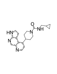 O=C(NCC1CC1)N1CCC(c2ccnc3cnc4[nH]ccc4c23)CC1